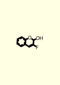 OC1Oc2ccccc2C=C1F